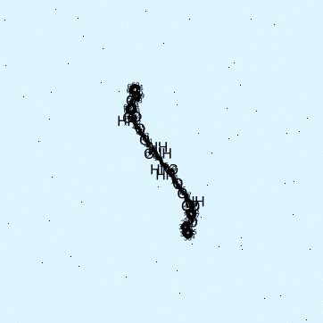 O=C(NCCCCNC(=O)NCCOCCOCCNS(=O)(=O)c1ccc(O[C@@H]2CCc3ccccc32)cc1)NCCOCCOCCNS(=O)(=O)C1=CCC(O[C@@H]2CCc3ccccc32)C=C1